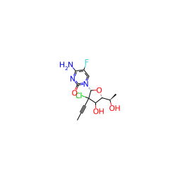 CC#CC1(Cl)C(O)[C@@H]([C@@H](C)O)O[C@H]1n1cc(F)c(N)nc1=O